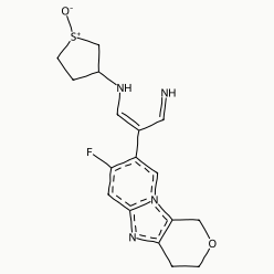 N=C/C(=C\NC1CC[S+]([O-])C1)c1cn2c3c(nc2cc1F)CCOC3